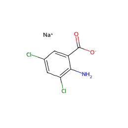 Nc1c(Cl)cc(Cl)cc1C(=O)[O-].[Na+]